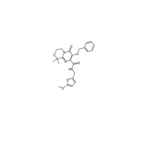 CSc1ccc(CNC(=O)c2nc3n(c(=O)c2OCc2ccccc2)CCOC3(C)C)o1